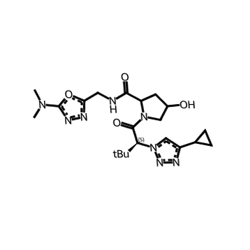 CN(C)c1nnc(CNC(=O)C2CC(O)CN2C(=O)[C@@H](n2cc(C3CC3)nn2)C(C)(C)C)o1